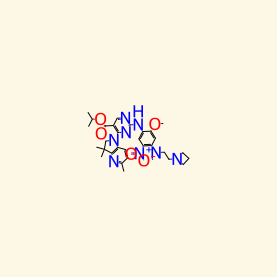 COc1cc(N(C)CCN2CCC2)c([N+](=O)[O-])cc1Nc1ncc(C(=O)OC(C)C)c(N2CC(C)(C)c3nc(C)ccc32)n1